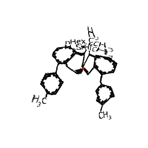 CCCCC[CH2][Hf]([CH3])([CH3])([CH3])(=[SiH2])([CH]1C=Cc2c(-c3ccc(C)cc3)cccc21)[CH]1C=Cc2c(-c3ccc(C)cc3)cccc21